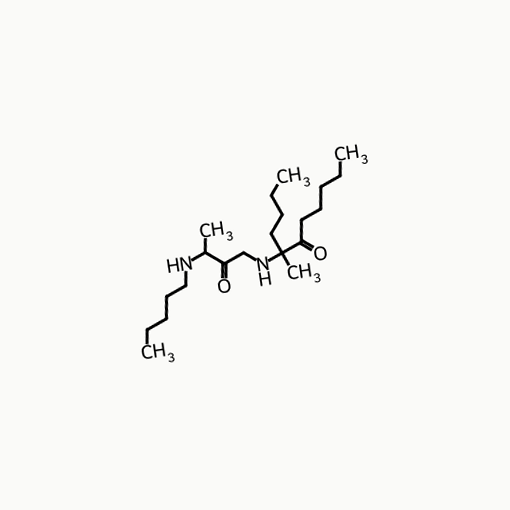 CCCCCNC(C)C(=O)CNC(C)(CCCC)C(=O)CCCCC